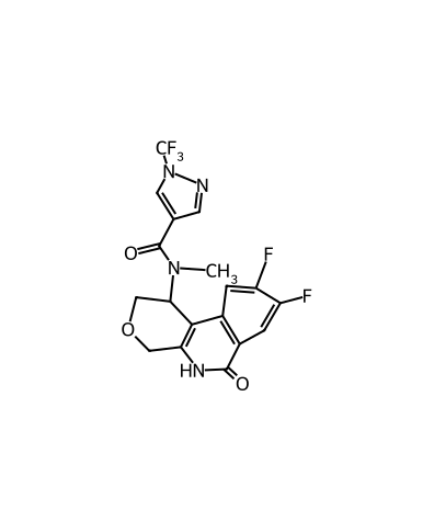 CN(C(=O)c1cnn(C(F)(F)F)c1)C1COCc2[nH]c(=O)c3cc(F)c(F)cc3c21